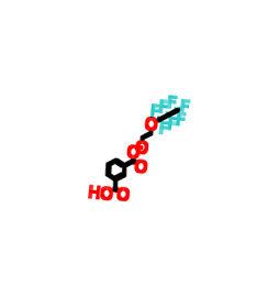 O=C(O)c1cccc(C(=O)OOCCOC(F)(F)C(F)(F)C(F)(F)F)c1